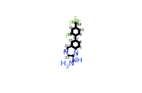 NNC1=Nc2ccc(-c3ccc(C(F)(F)F)cc3F)cc2C=NC1